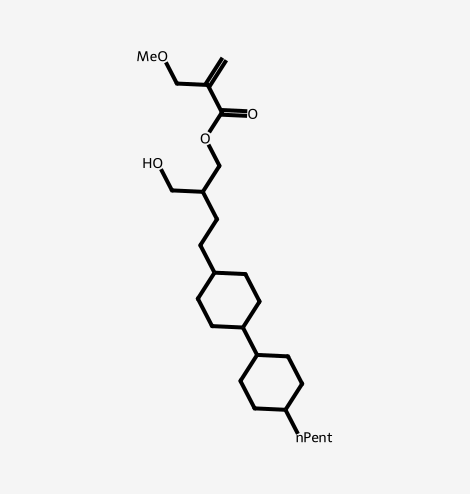 C=C(COC)C(=O)OCC(CO)CCC1CCC(C2CCC(CCCCC)CC2)CC1